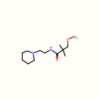 CC(C)(CO[N+](=O)[O-])C(=O)NCCN1CCCCC1